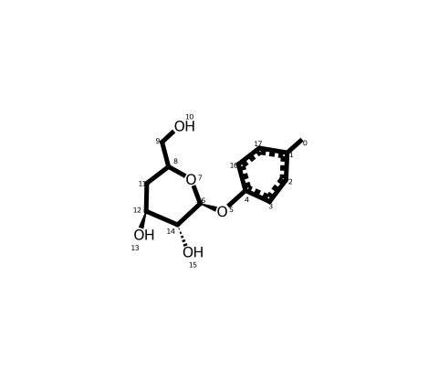 Cc1ccc(O[C@@H]2OC(CO)C[C@H](O)[C@H]2O)cc1